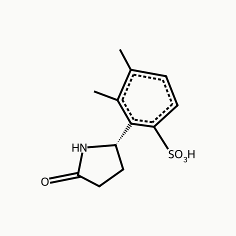 Cc1ccc(S(=O)(=O)O)c([C@@H]2CCC(=O)N2)c1C